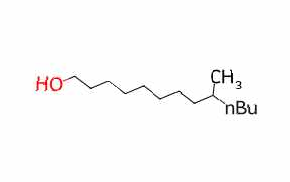 CCCCC(C)CCCCCCCCO